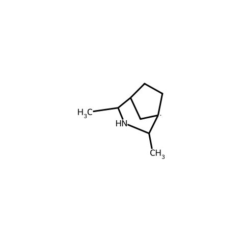 CC1NC(C)C2CC[C]1C2